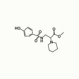 COC(=O)C(CNS(=O)(=O)c1ccc(O)cc1)N1CCCCC1